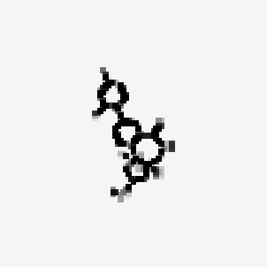 CN1C[C@H]2CNC(=O)c3cc(-c4ccc(F)cc4F)ccc3[C@@H]2C1